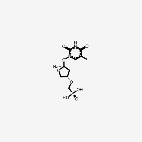 Cc1cn(OC2C[C@H](OCP(=O)(O)O)CO2)c(=O)[nH]c1=O.[NaH]